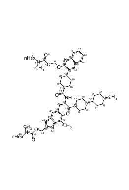 CCCCCCN(C)C(=O)OCOc1nc2ccccc2cc1C1CCN(C(=O)N[C@H](Cc2cc(C)c3nn(COC(=O)N(C)CCCCCC)cc3c2)C(=O)N2CCN(C3CCN(C)CC3)CC2)CC1